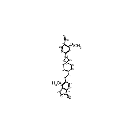 COc1cc(N2CC3(CCN(CCc4ccc5c(c4C)COC5=O)CC3)C2)ncc1C#N